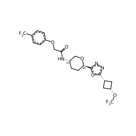 O=C(COc1ccc(C(F)(F)F)cc1)N[C@H]1CC[C@H](c2nnc([C@H]3C[C@@H](OC(F)(F)F)C3)o2)OC1